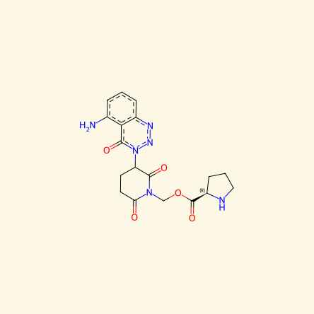 Nc1cccc2nnn(C3CCC(=O)N(COC(=O)[C@H]4CCCN4)C3=O)c(=O)c12